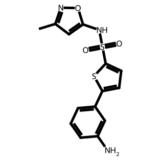 Cc1cc(NS(=O)(=O)c2ccc(-c3cccc(N)c3)s2)on1